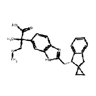 COCC(C)(C(=O)O)c1ccc2nc(C[C@@H]3c4ccccc4CC34CC4)[nH]c2c1